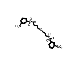 O=[N+]([O-])c1cccc(S(=O)(=O)NCCCOCCCNS(=O)(=O)c2cccc([N+](=O)[O-])c2)c1